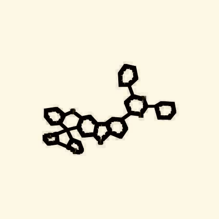 c1ccc(-c2cc(-c3ccc4oc5cc6c(cc5c4c3)Oc3ccccc3C63c4ccccc4-c4ccccc43)nc(-c3ccccc3)n2)cc1